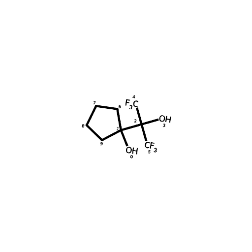 OC1(C(O)(C(F)(F)F)C(F)(F)F)CCCC1